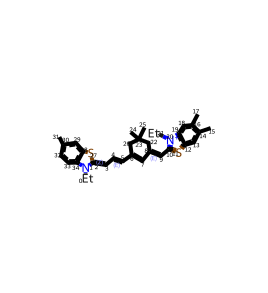 CCN1/C(=C/C=C/C2=CC(=C/c3sc4cc(C)c(C)cc4[n+]3CC)/CC(C)(C)C2)Sc2cc(C)ccc21